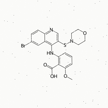 COc1cccc(Nc2c(SN3CCOCC3)cnc3ccc(Br)cc23)c1C(=O)O